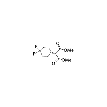 COC(=O)C(C(=O)OC)=C1CCC(F)(F)CC1